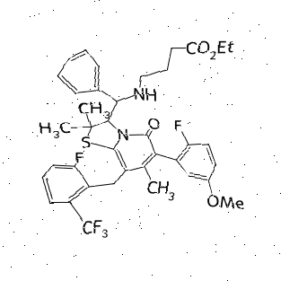 CCOC(=O)CCCNC(c1ccccc1)C1n2c(c(Cc3c(F)cccc3C(F)(F)F)c(C)c(-c3cc(OC)ccc3F)c2=O)SC1(C)C